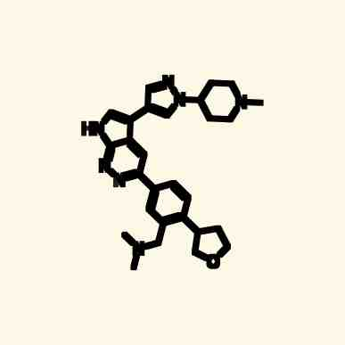 CN(C)Cc1cc(-c2cc3c(-c4cnn(C5CCN(C)CC5)c4)c[nH]c3nn2)ccc1C1CCOC1